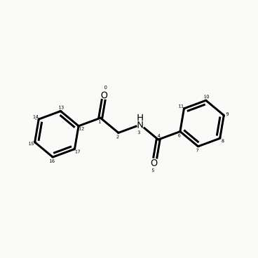 O=C(CNC(=O)c1ccccc1)c1c[c]ccc1